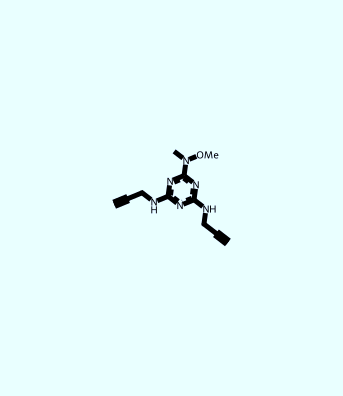 C#CCNc1nc(NCC#C)nc(N(C)OC)n1